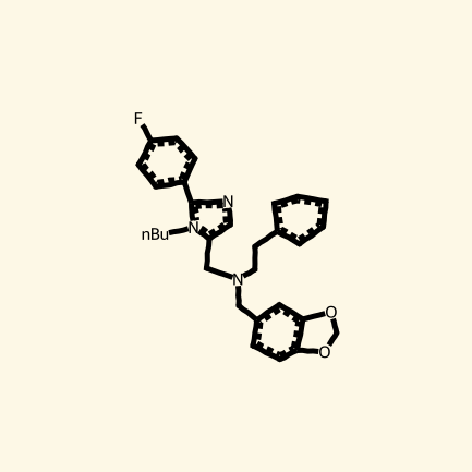 CCCCn1c(CN(CCc2ccccc2)Cc2ccc3c(c2)OCO3)cnc1-c1ccc(F)cc1